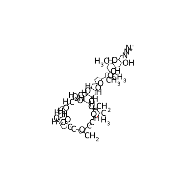 C=C1CC2CC[C@]34CCC(O3)[C@H]3C[C@@H](O4)[C@H]4O[C@H](CC[C@@H]4O3)CC(=O)O[C@@H]3[C@@H](C)[C@@H]4O[C@@H]5C[C@]6(CC[C@H]([C@@H](C)C[C@]7(OC)C[C@H](C)[C@@H]8OC(CN=[N+]=[N-])[C@H](O)C[C@@H]8O7)O6)O[C@@H]5C[C@@H]4O[C@H]3C[C@H]3O[C@@H](CCC1O2)C[C@@H](C)C3=C